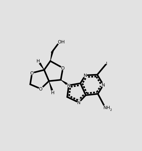 Nc1nc(I)nc2c1ncn2[C@@H]1O[C@H](CO)[C@H]2OCO[C@H]21